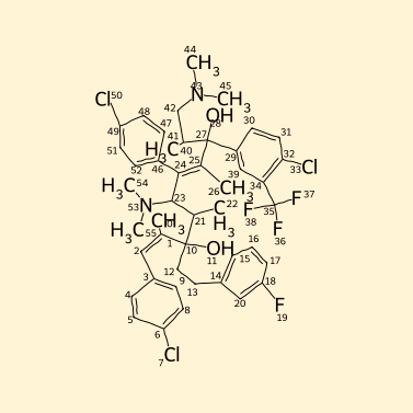 CC(=Cc1ccc(Cl)cc1)C(O)(CCc1cccc(F)c1)C(C)C(C(=C(C)C(O)(c1ccc(Cl)c(C(F)(F)F)c1)C(C)CN(C)C)c1ccc(Cl)cc1)N(C)C